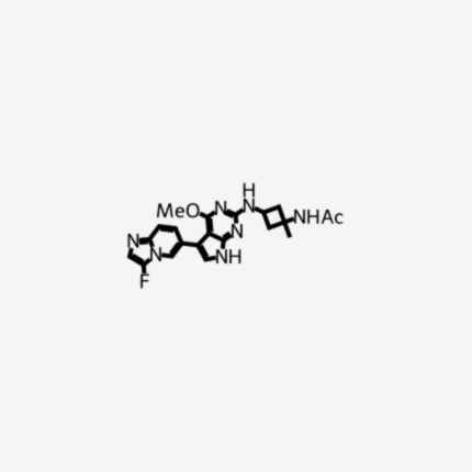 COc1nc(NC2CC(C)(NC(C)=O)C2)nc2[nH]cc(-c3ccc4ncc(F)n4c3)c12